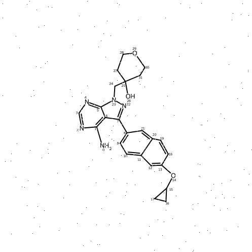 Nc1ncnc2c1c(-c1ccc3cc(OC4CC4)ccc3c1)nn2CC1(O)CCOCC1